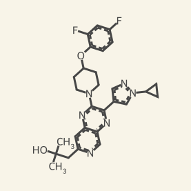 CC(C)(O)Cc1cc2nc(N3CCC(Oc4ccc(F)cc4F)CC3)c(-c3cnn(C4CC4)c3)nc2cn1